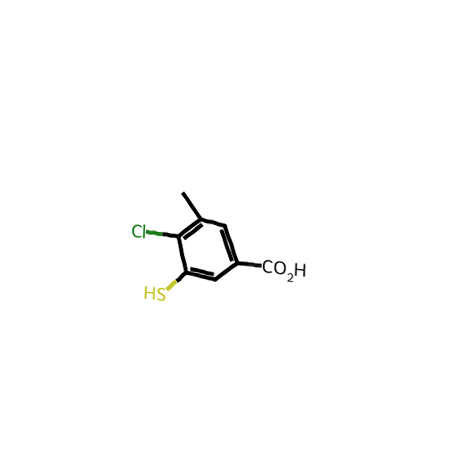 Cc1cc(C(=O)O)cc(S)c1Cl